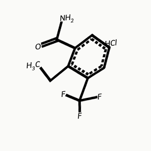 CCc1c(C(N)=O)cccc1C(F)(F)F.Cl